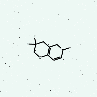 CC1C=CC2=C(C1)CC(F)(F)CO2